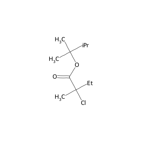 CCC(C)(Cl)C(=O)OC(C)(C)C(C)C